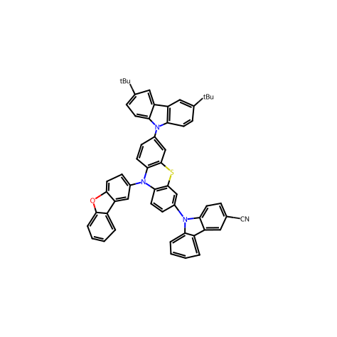 CC(C)(C)c1ccc2c(c1)c1cc(C(C)(C)C)ccc1n2-c1ccc2c(c1)Sc1cc(-n3c4ccccc4c4cc(C#N)ccc43)ccc1N2c1ccc2oc3ccccc3c2c1